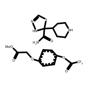 COC(=O)COc1ccc(OC(=O)C(F)(F)F)cc1.NC(=O)C1(C2CCNCC2)NN=CS1